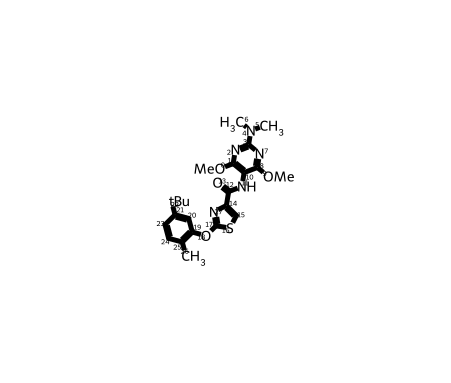 COc1nc(N(C)C)nc(OC)c1NC(=O)c1csc(Oc2cc(C(C)(C)C)ccc2C)n1